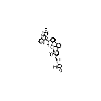 COc1nc(-c2cccc(-c3cccc(Nc4nc(C(F)(F)F)nc5cccnc45)c3C)c2Cl)ccc1CNC[C@@H]1CCC(=O)N1